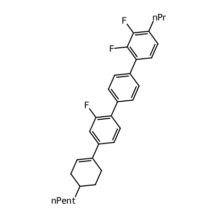 CCCCCC1CC=C(c2ccc(-c3ccc(-c4ccc(CCC)c(F)c4F)cc3)c(F)c2)CC1